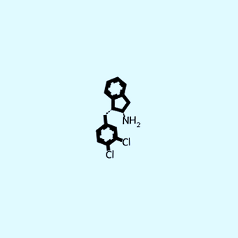 N[C@H]1Cc2ccccc2[C@H]1Cc1ccc(Cl)c(Cl)c1